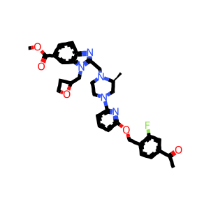 COC(=O)c1ccc2nc(CN3CCN(c4cccc(OCc5ccc(C(C)=O)cc5F)n4)C[C@@H]3C)n(CC3CCO3)c2c1